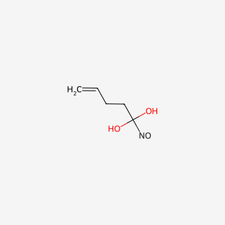 C=CCCC(O)(O)N=O